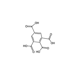 O=C(O)c1cc(C(=O)O)c(C(=O)O)c(C(=O)O)c1